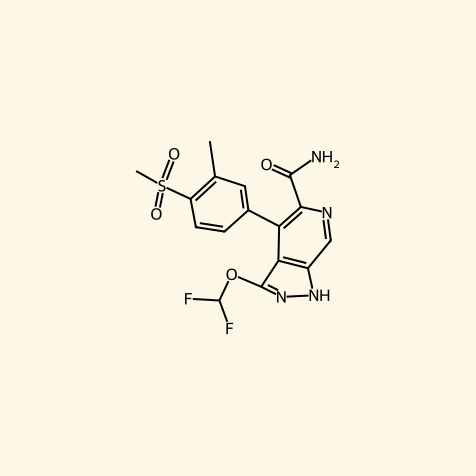 Cc1cc(-c2c(C(N)=O)ncc3[nH]nc(OC(F)F)c23)ccc1S(C)(=O)=O